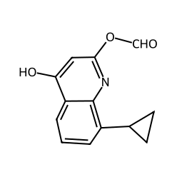 O=COc1cc(O)c2cccc(C3CC3)c2n1